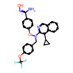 N/C(=N\O)c1ccc(ON(Cc2ccc(OC(F)(F)F)cc2)c2ncc3ccccc3c2C2CC2)cc1